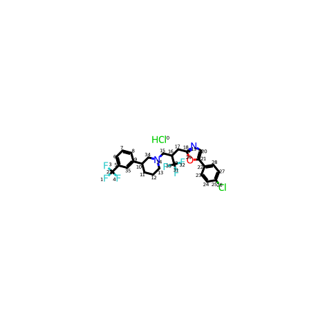 Cl.FC(F)(F)c1cccc(C2CCCN(CC(Cc3ncc(-c4ccc(Cl)cc4)o3)C(F)(F)F)C2)c1